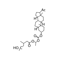 CC(=O)C1CC[C@H]2C3CC[C@H]4C[C@H](OC(=O)OC(C)OC(=O)CC(C)CC(=O)O)CCC4(C)[C@H]3CCC12C